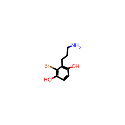 NCCCc1c(O)ccc(O)c1Br